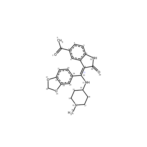 CC(=O)c1ccc2c(c1)/C(=C(/NC1CCN(C)CC1)c1ccc3c(c1)OCO3)C(=O)N2